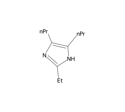 CCCc1nc(CC)[nH]c1CCC